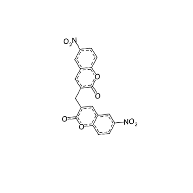 O=c1oc2ccc([N+](=O)[O-])cc2cc1Cc1cc2cc([N+](=O)[O-])ccc2oc1=O